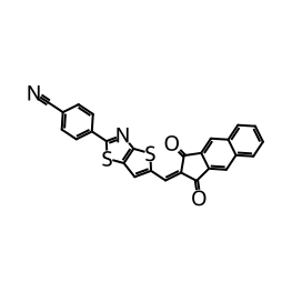 N#Cc1ccc(-c2nc3sc(C=C4C(=O)c5cc6ccccc6cc5C4=O)cc3s2)cc1